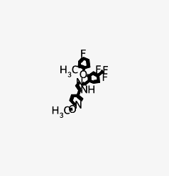 COc1ccc(-c2cnc(-c3ccc(C(F)(F)F)cc3Oc3ccc(F)cc3C)[nH]2)cn1